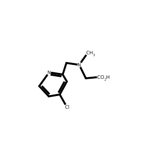 CN(CC(=O)O)Cc1cc(Cl)ccn1